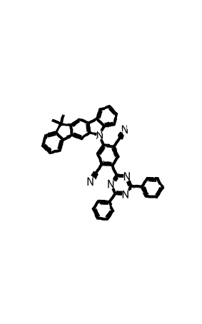 CC1(C)c2ccccc2-c2cc3c(cc21)c1ccccc1n3-c1cc(C#N)c(-c2nc(-c3ccccc3)nc(-c3ccccc3)n2)cc1C#N